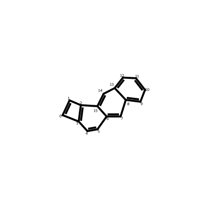 C1=Cc2c1ccc1cc3ccccc3cc21